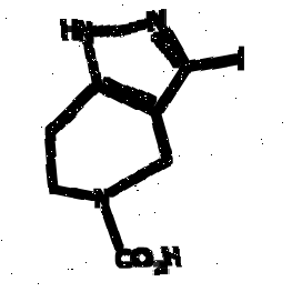 O=C(O)N1CCc2[nH]nc(I)c2C1